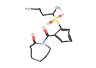 CCCC(C)S(=O)(=O)c1ccccc1C(=O)N1CCCCCC1=O